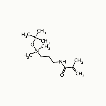 C=C(C)C(=O)NCCC[Si](C)(C)O[Si](C)(C)C